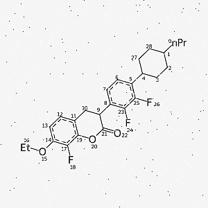 CCCC1CCC(c2ccc(C3Cc4ccc(OCC)c(F)c4OC3=O)c(F)c2F)CC1